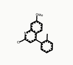 COc1ccc2c(-c3ccccc3C)cc(Cl)nc2c1